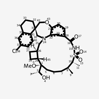 CO[C@@]1([C@@H](C)O)CCC[C@H](C)[C@@H](C)S(=O)(=O)NC(=O)c2ccc3c(c2)N(C[C@@H]2CC[C@H]21)C[C@@]1(CCCc2cc(Cl)ccc21)CO3